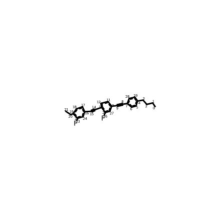 CCCCc1ccc(C#Cc2ccc(C#Cc3ccc(CC)c(F)c3)c(F)c2)cc1